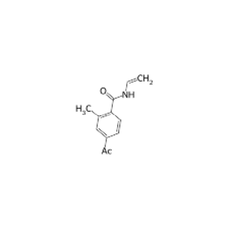 C=CNC(=O)c1ccc(C(C)=O)cc1C